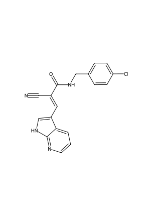 N#C/C(=C\c1c[nH]c2ncccc12)C(=O)NCc1ccc(Cl)cc1